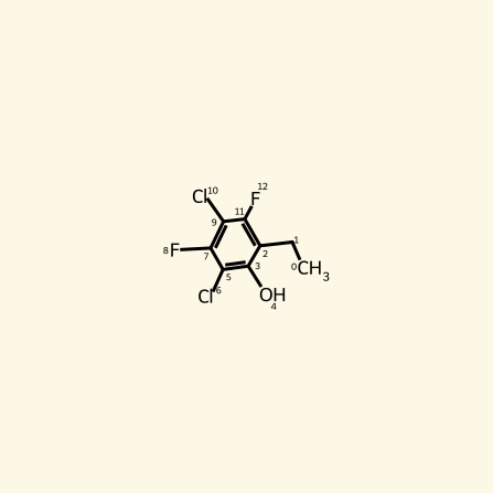 CCc1c(O)c(Cl)c(F)c(Cl)c1F